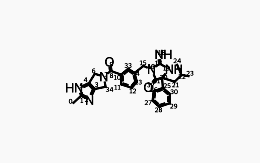 Cc1nc2c([nH]1)CN(C(=O)c1cccc(CN3C(=N)NC(CC(C)C)(c4ccccc4)C3=O)c1)C2